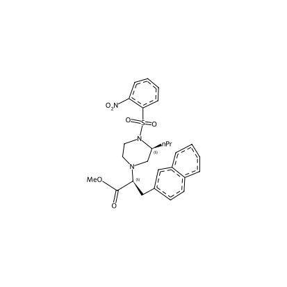 CCC[C@H]1CN([C@@H](Cc2ccc3ccccc3c2)C(=O)OC)CCN1S(=O)(=O)c1ccccc1[N+](=O)[O-]